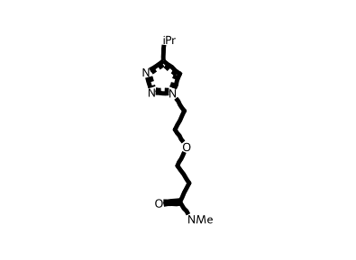 CNC(=O)CCOCCn1cc(C(C)C)nn1